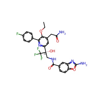 CCOc1c(CC(N)=O)cc([C@@](O)(CNC(=O)c2ccc3oc(N)nc3c2)C(F)(F)F)nc1-c1ccc(F)cc1